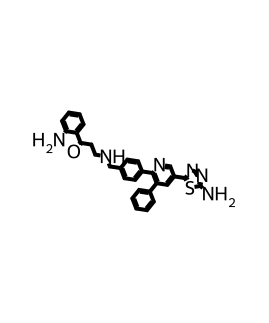 Nc1nnc(-c2cnc(-c3ccc(CNCCC(=O)c4ccccc4N)cc3)c(-c3ccccc3)c2)s1